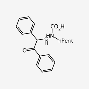 CCCCCNC(=O)O.O=C(c1ccccc1)C(O)c1ccccc1